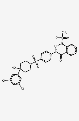 CN(c1ccccc1C(=O)Nc1ccc(S(=O)(=O)N2CCC(O)(c3cc(Cl)cc(Cl)c3)CC2)cc1)S(C)(=O)=O